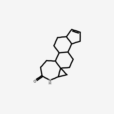 O=C1CCC2C3CCC4C=CCC4C3CCC23CC3N1